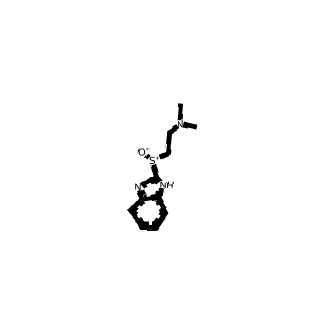 CN(C)CC[S+]([O-])c1nc2ccccc2[nH]1